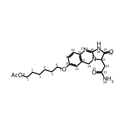 CC(=O)OCCCCCCOc1ccc2c(c1)CN1C(=N2)NC(=O)C1CC(N)=O